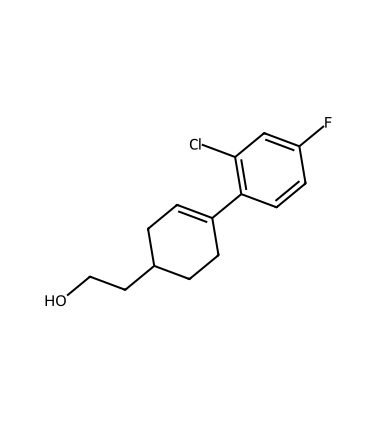 OCCC1CC=C(c2ccc(F)cc2Cl)CC1